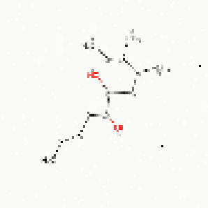 CCCCC(O)C(O)CC(C)C(C)CC